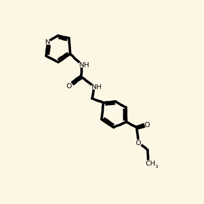 CCOC(=O)c1ccc(CNC(=O)Nc2ccncc2)cc1